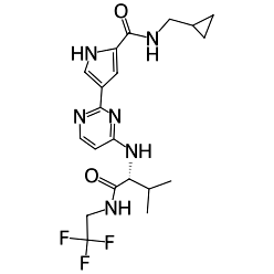 CC(C)[C@@H](Nc1ccnc(-c2c[nH]c(C(=O)NCC3CC3)c2)n1)C(=O)NCC(F)(F)F